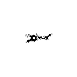 Cc1cc(NC(=O)[C@@](C)(O)Cn2cc(C#N)cn2)ccc1C#N